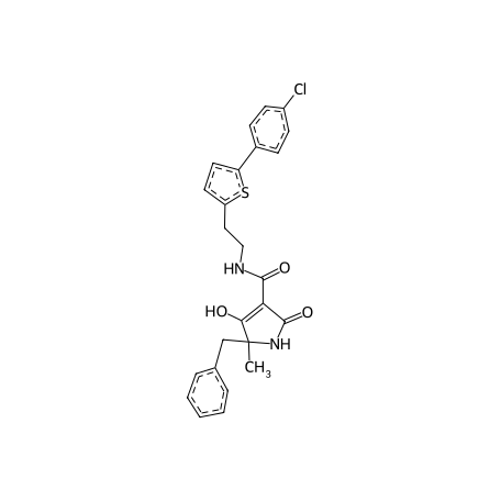 CC1(Cc2ccccc2)NC(=O)C(C(=O)NCCc2ccc(-c3ccc(Cl)cc3)s2)=C1O